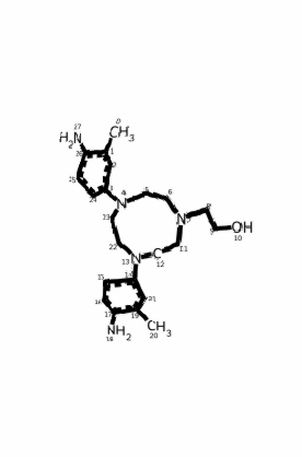 Cc1cc(N2CCN(CCO)CCN(c3ccc(N)c(C)c3)CC2)ccc1N